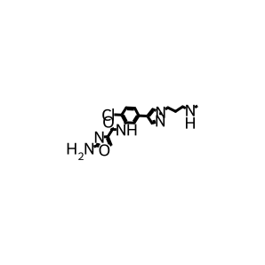 CNCCCn1cc(-c2ccc(Cl)c(NC(=O)c3coc(N)n3)c2)cn1